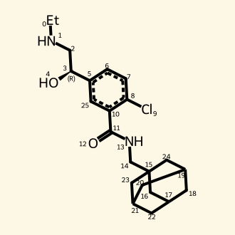 CCNC[C@H](O)c1ccc(Cl)c(C(=O)NCC23CC4CC(CC(C4)C2)C3)c1